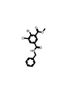 COC(=O)c1cc(C(=O)NCc2ccccc2)cc(Cl)c1Br